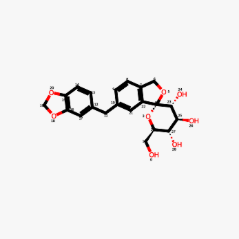 OC[C@H]1O[C@]2(OCc3ccc(Cc4ccc5c(c4)OCO5)cc32)[C@H](O)[C@@H](O)[C@@H]1O